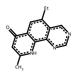 CCc1cc2c(=O)cc(C)[nH]c2c2ncncc12